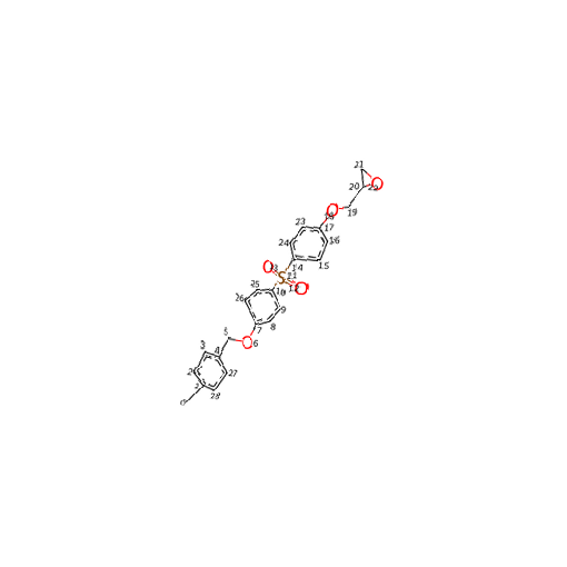 Cc1ccc(COc2ccc(S(=O)(=O)c3ccc(OCC4CO4)cc3)cc2)cc1